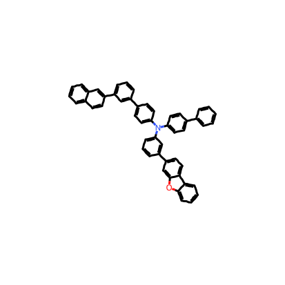 c1ccc(-c2ccc(N(c3ccc(-c4cccc(-c5ccc6ccccc6c5)c4)cc3)c3cccc(-c4ccc5c(c4)oc4ccccc45)c3)cc2)cc1